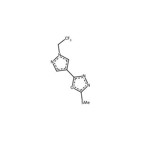 CSc1nnc(-c2cnn(CC(F)(F)F)c2)o1